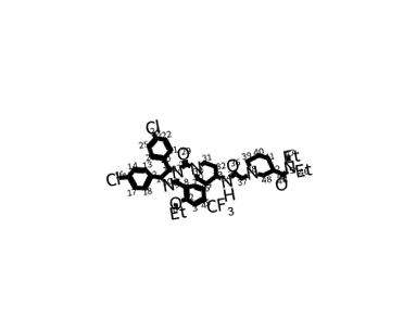 CCOc1cc(C(F)(F)F)ccc1C1=NC(c2ccc(Cl)cc2)C(c2ccc(Cl)cc2)N1C(=O)N1CCC(NC(=O)CN2CCCC(C(=O)N(CC)CC)C2)CC1